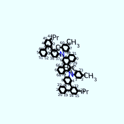 Cc1ccc(N(c2cccc(-c3cc(C(C)C)ccc3-c3ccccc3)c2)c2cc3c4ccccc4c(N(c4cccc(-c5cc(C(C)C)ccc5-c5ccccc5)c4)c4ccc(C)cc4C)cc3c3ccccc23)c(C)c1